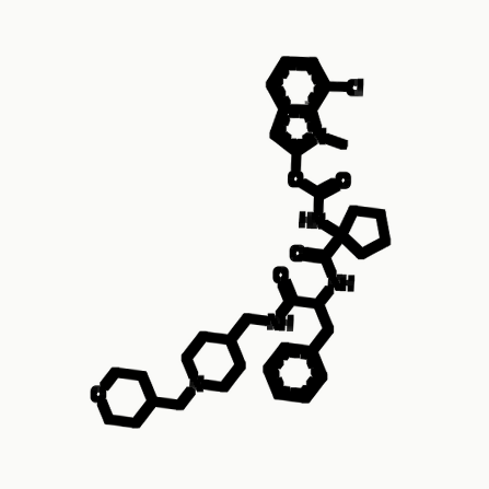 Cn1c(OC(=O)NC2(C(=O)NC(Cc3ccccc3)C(=O)NCC3CCN(CC4CCOCC4)CC3)CCCC2)cc2cccc(Cl)c21